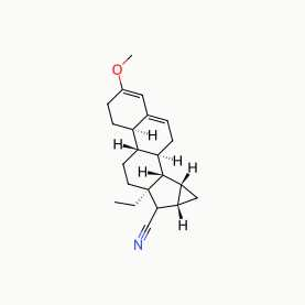 CC[C@]12CC[C@H]3[C@@H](CC=C4C=C(OC)CC[C@@H]43)[C@@H]1[C@@H]1C[C@@H]1C2C#N